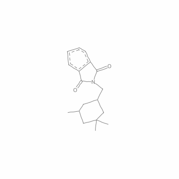 CC1CC(CN2C(=O)c3ccccc3C2=O)CC(C)(C)C1